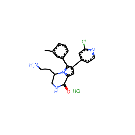 Cc1cccc(-c2c(-c3ccnc(Cl)c3)cc3n2C(CCN)CNC3=O)c1.Cl